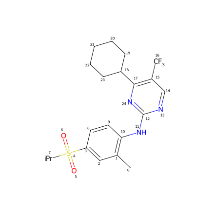 Cc1cc(S(=O)(=O)C(C)C)ccc1Nc1ncc(C(F)(F)F)c(C2CCCCC2)n1